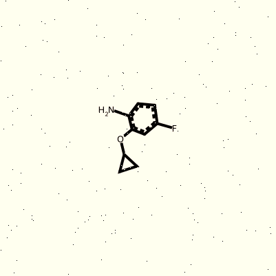 Nc1ccc(F)cc1OC1CC1